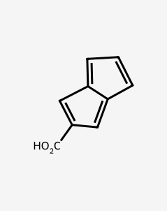 O=C(O)C1=CC2=CC=CC2=C1